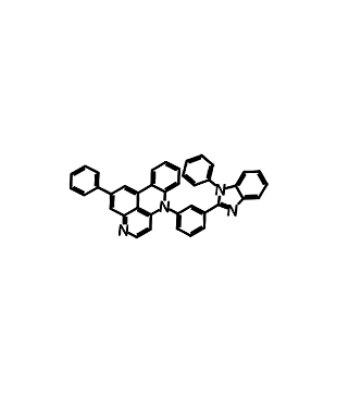 c1ccc(-c2cc3c4c(ccnc4c2)N(c2cccc(-c4nc5ccccc5n4-c4ccccc4)c2)c2ccccc2-3)cc1